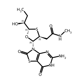 CC[C@H](O)[C@H]1O[C@@H](n2c(=O)sc3c(=O)[nH]c(N)nc32)[C@H](CC(=O)NC)S1